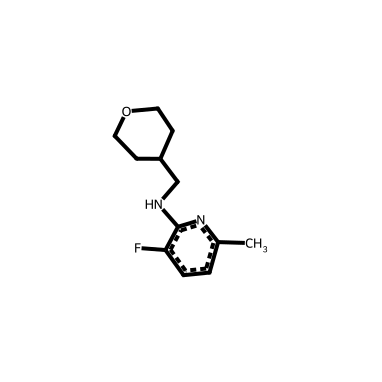 Cc1ccc(F)c(NCC2CCOCC2)n1